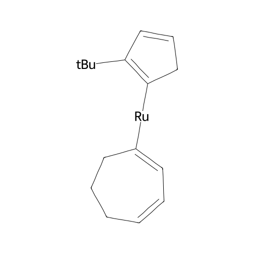 CC(C)(C)C1=[C]([Ru][C]2=CC=CCCC2)CC=C1